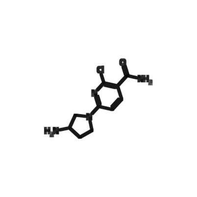 NC(=O)c1ccc(N2CCC(N)C2)nc1Cl